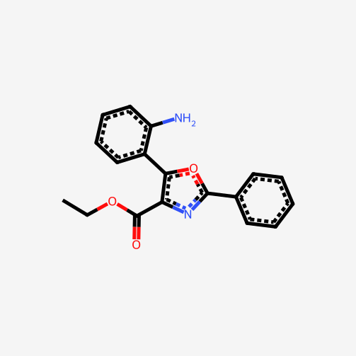 CCOC(=O)c1nc(-c2ccccc2)oc1-c1ccccc1N